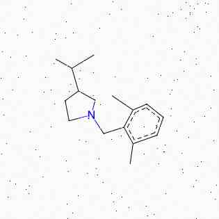 Cc1cccc(C)c1CN1CCC(C(C)C)C1